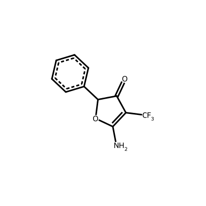 NC1=C(C(F)(F)F)C(=O)C(c2ccccc2)O1